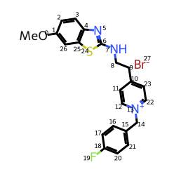 COc1ccc2nc(NCCc3cc[n+](Cc4ccc(F)cc4)cc3)sc2c1.[Br-]